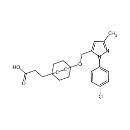 Cc1cc(COC23CCC(CCC(=O)O)(CC2)CC3)n(-c2ccc(Cl)cc2)n1